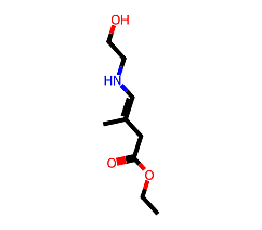 CCOC(=O)C/C(C)=C/NCCO